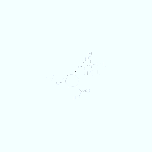 CO[C@H]1C[C@@H](O[Si](C)(C)C(C)(C)C)C[C@@H](C(=O)O)O1